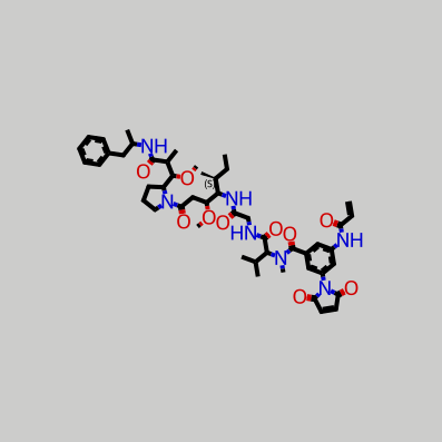 C=CC(=O)Nc1cc(C(=O)N(C)C(C(=O)NCC(=O)NC(C(CC(=O)N2CCCC2C(OC)C(C)C(=O)NC(C)Cc2ccccc2)OC)[C@@H](C)CC)C(C)C)cc(N2C(=O)C=CC2=O)c1